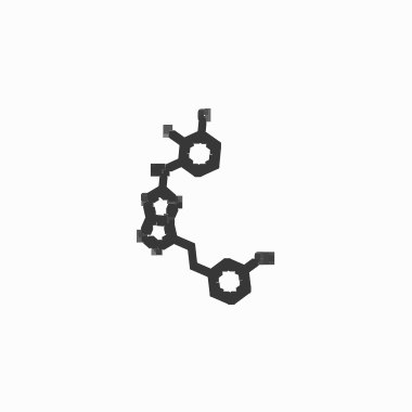 Oc1cccc(CCc2nnc3sc(Nc4cccc(Cl)c4F)nn23)c1